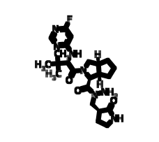 CC(C)(C)[C@H](Nc1cc(F)ncn1)C(=O)N1C[C@@H]2CCC[C@@H]2[C@H]1C(=O)N(N)C[C@@H]1CCNC1=O